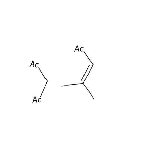 CC(=O)C=C(C)C.CC(=O)CC(C)=O